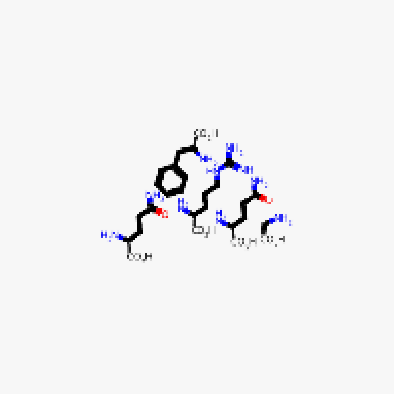 N=C(N)NCCC[C@H](N)C(=O)O.NC(=O)CC[C@H](N)C(=O)O.NC(=O)CC[C@H](N)C(=O)O.NCC(=O)O.N[C@@H](Cc1ccccc1)C(=O)O